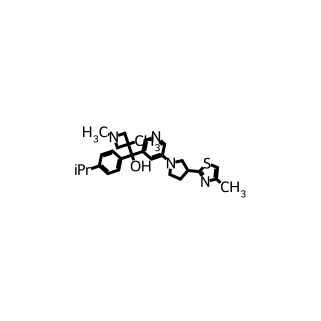 Cc1csc(C2CCN(c3cncc(C(O)(c4ccc(C(C)C)cc4)C4(C)CN(C)C4)c3)C2)n1